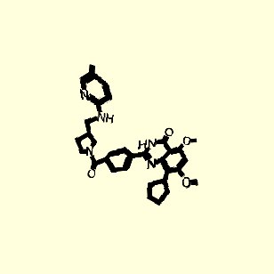 COc1cc(OC)c2c(=O)[nH]c(-c3ccc(C(=O)N4CCC(CNc5ccc(C)cn5)C4)cc3)nc2c1C1CCCC1